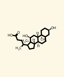 CC(CCC(=O)O)C1CC[C@H]2[C@@H]3CCC4C[C@H](O)CC[C@]4(C)[C@H]3C[C@H](O)[C@]12C